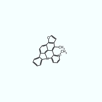 Cc1c2ccoc2c2ccc3c4ccccc4n4c5ccc[n+](C)c5c1c2c34